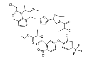 CC1(C)OC(c2ccco2)CN1C(=O)C(Cl)Cl.CCOC(=O)C(C)OC(=O)c1cc(Oc2ccc(C(F)(F)F)cc2Cl)ccc1[N+](=O)[O-].CCc1cccc(C)c1N(C(=O)CCl)C(C)COC